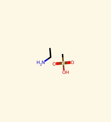 CCN.CS(=O)(=O)O